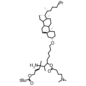 CC(C)CCC[C@@H](C)[C@H]1CCC2C3CC=C4C[C@@H](OCCCCCC(OC(=O)CCCN(C)C)C(C)C(C)(N)/C=C/COC(=O)C(C)(C)C)CC[C@]4(C)C3CC[C@@]21C